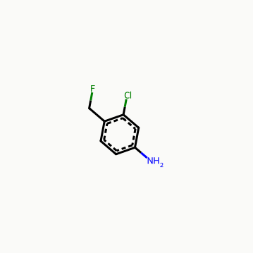 Nc1ccc(CF)c(Cl)c1